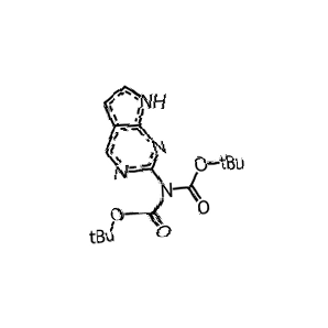 CC(C)(C)OC(=O)N(C(=O)OC(C)(C)C)c1ncc2cc[nH]c2n1